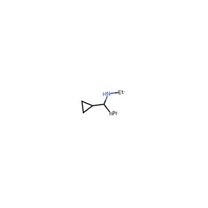 C[CH]NC(CCC)C1CC1